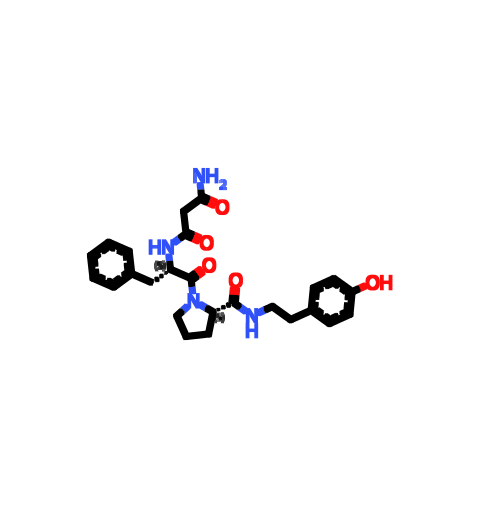 NC(=O)CC(=O)N[C@@H](Cc1ccccc1)C(=O)N1CCC[C@H]1C(=O)NCCc1ccc(O)cc1